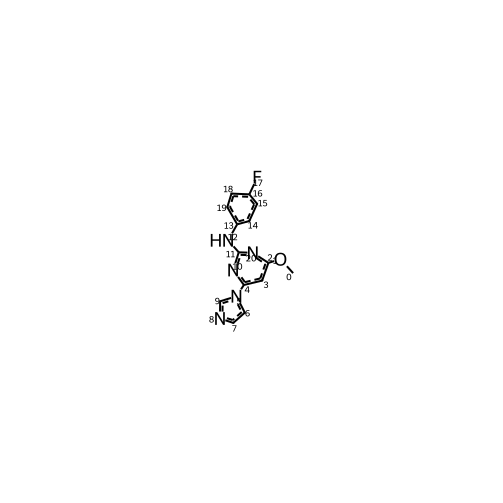 COc1cc(-n2ccnc2)nc(Nc2ccc(F)cc2)n1